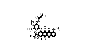 COc1cccc2c1C(=O)c1c(O)c3c(c(O)c1C2=O)C[C@@](O)(C(=O)CO)C[C@@H]3OC1CC(NOC(=O)CN)C(O)C(C)O1